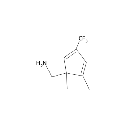 CC1=CC(C(F)(F)F)=CC1(C)CN